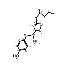 CCCN(C)Cc1nc(C(N)Cc2ccc(O)cc2)no1